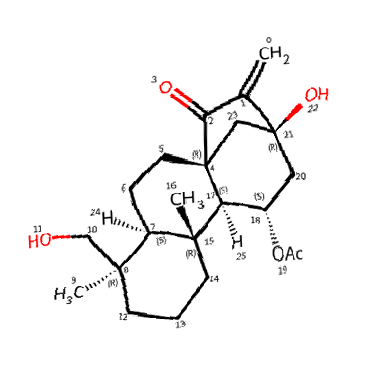 C=C1C(=O)[C@@]23CC[C@@H]4[C@](C)(CO)CCC[C@@]4(C)[C@@H]2[C@@H](OC(C)=O)C[C@]1(O)C3